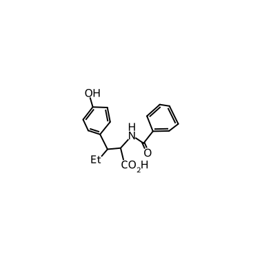 CCC(c1ccc(O)cc1)C(NC(=O)c1ccccc1)C(=O)O